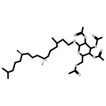 CC(=O)OCC1OC(OCCC(C)CCC[C@H](C)CCC[C@H](C)CCCC(C)C)C(OC(C)=O)C(OC(C)=O)C1OC(C)=O